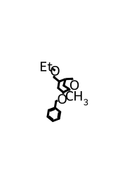 CCOCC1CC(OCc2ccccc2)C2(C)CC1CO2